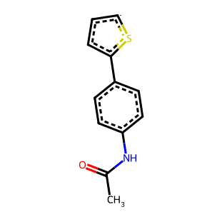 CC(=O)Nc1ccc(-c2cc[c]s2)cc1